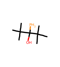 CC(C)(C)C(O)(P)C(C)(C)C